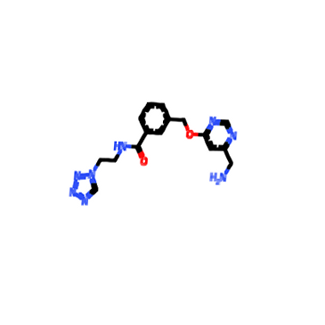 NCc1cc(OCc2cccc(C(=O)NCCn3cnnn3)c2)ncn1